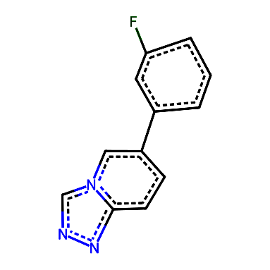 Fc1cccc(-c2ccc3nncn3c2)c1